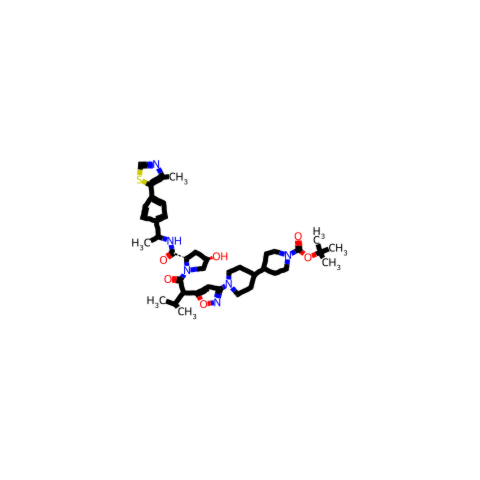 Cc1ncsc1-c1ccc(C(C)NC(=O)[C@@H]2C[C@@H](O)CN2C(=O)C(c2cc(N3CCC(C4CCN(C(=O)OC(C)(C)C)CC4)CC3)no2)C(C)C)cc1